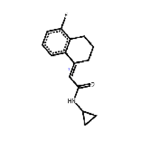 O=C(/C=C1\CCCc2c(F)cccc21)NC1CC1